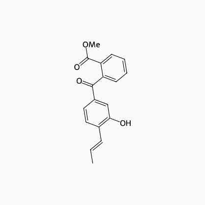 CC=Cc1ccc(C(=O)c2ccccc2C(=O)OC)cc1O